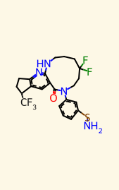 NSc1cccc(N2CCC(F)(F)CCCNc3nc4c(cc3C2=O)C(C(F)(F)F)CC4)c1